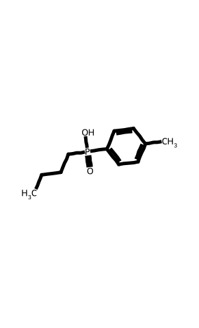 CCCCP(=O)(O)c1ccc(C)cc1